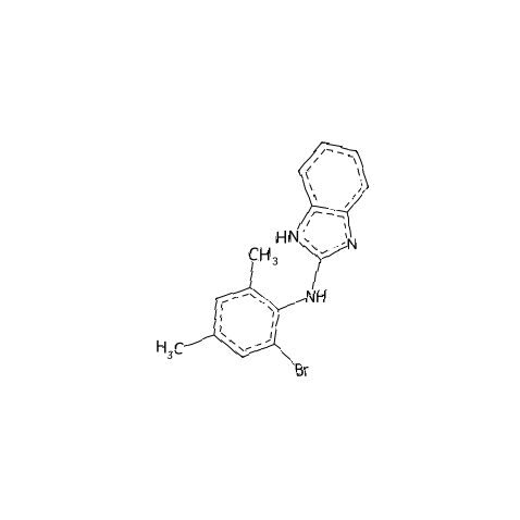 Cc1cc(C)c(Nc2nc3ccccc3[nH]2)c(Br)c1